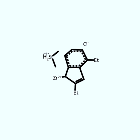 CCC1=Cc2c(CC)cccc2[CH]1[Zr+2].C[SiH2]C.[Cl-].[Cl-]